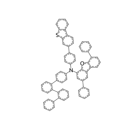 c1ccc(-c2cc(N(c3ccc(-c4ccc5c(c4)sc4ccccc45)cc3)c3ccc(-c4ccccc4-c4ccccc4-c4ccccc4)cc3)c3oc4c(-c5ccccc5)cccc4c3c2)cc1